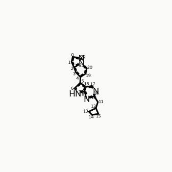 c1cc2cc(-c3c[nH]c4nc(CC5CCC5)ncc34)ccn2n1